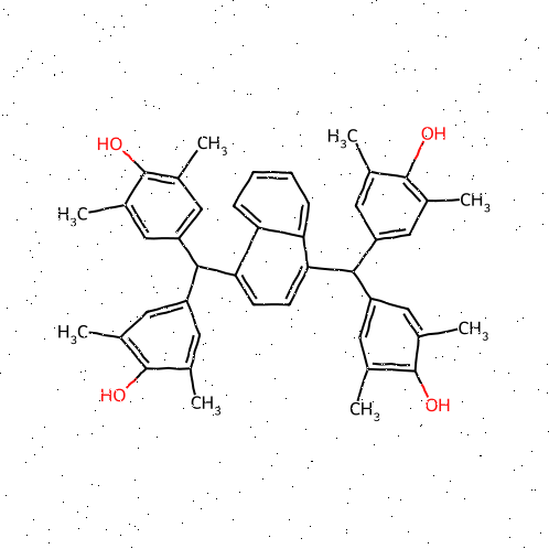 Cc1cc(C(c2cc(C)c(O)c(C)c2)c2ccc(C(c3cc(C)c(O)c(C)c3)c3cc(C)c(O)c(C)c3)c3ccccc23)cc(C)c1O